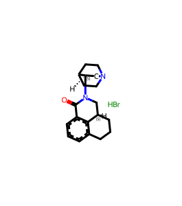 Br.O=C1c2cccc3c2[C@H](CCC3)CN1[C@@H]1CN2CCC1CC2